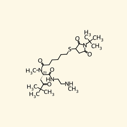 CNCCNC(=O)[C@H](CC(=O)C(C)(C)C)N(C)C(=O)CCCCCSC1CC(=O)N(C(C)(C)C)C1=O